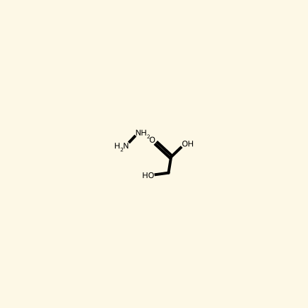 NN.O=C(O)CO